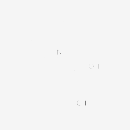 C=CC(O)N1C=CCC=C1